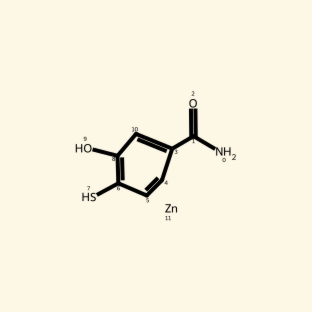 NC(=O)c1ccc(S)c(O)c1.[Zn]